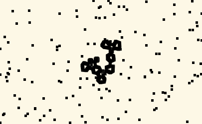 O=c1oc2ccccc2c2cc3c4ccccc4n(-c4cccc(-c5ccc(-n6c7ccccc7c7ccccc76)cc5)c4)c3cc12